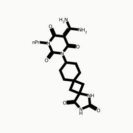 CCCN1C(=O)C(=C(N)N)C(=O)N(C2CCC3(CC2)CC2(C3)NC(=O)NC2=O)C1=O